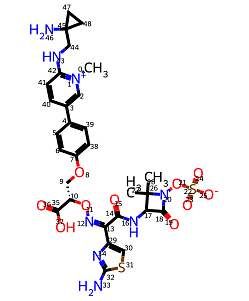 C[n+]1cc(-c2ccc(OC[C@H](O/N=C(\C(=O)NC3C(=O)N(OS(=O)(=O)[O-])C3(C)C)c3csc(N)n3)C(=O)O)cc2)ccc1NCC1(N)CC1